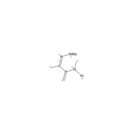 C=C(/C(C)=N\NC)N(C)C(C)=O